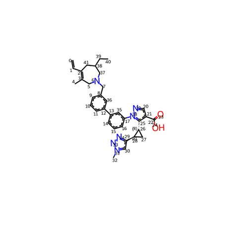 C=CC1=C(C)CN(Cc2cccc(-c3cccc(-n4ncc(C(=O)O)c4[C@@H]4C[C@H]4c4cn(C)nn4)c3)c2)CC(CC)C1